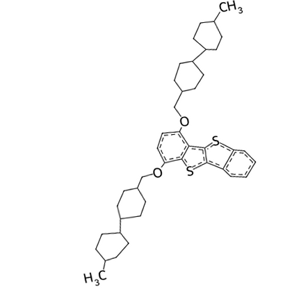 CC1CCC(C2CCC(COc3ccc(OCC4CCC(C5CCC(C)CC5)CC4)c4c3sc3c5ccccc5sc34)CC2)CC1